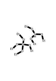 CCO[SiH](OCC)OCC.CCO[Si](OCC)(OCC)OCC